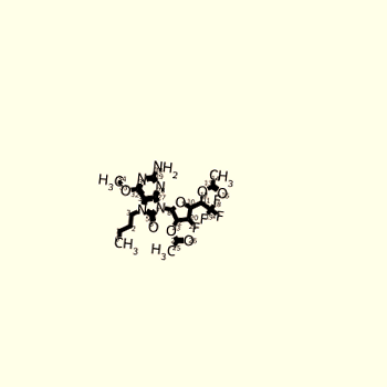 CCCCn1c(=O)n(C2OC([C@@H](OC(C)=O)C(F)(F)F)C(F)C2OC(C)=O)c2nc(N)nc(OC)c21